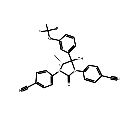 C[C@H]1N(c2ccc(C#N)cc2)C(=O)N(c2ccc(C#N)cc2)C1(O)c1cccc(OC(F)(F)F)c1